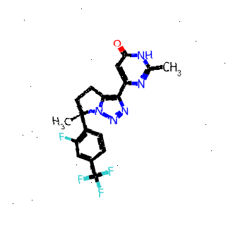 Cc1nc(-c2nnn3c2CC[C@@]3(C)c2ccc(C(F)(F)F)cc2F)cc(=O)[nH]1